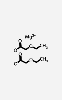 CCOCC(=O)[O-].CCOCC(=O)[O-].[Mg+2]